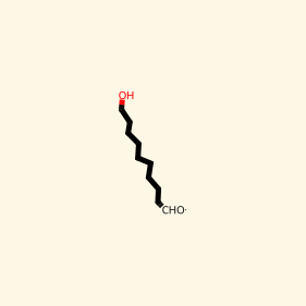 O=[C]CCCCCCCCCO